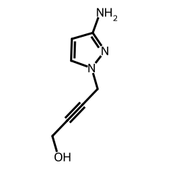 Nc1ccn(CC#CCO)n1